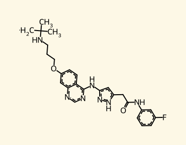 [CH2]C(C)(C)NCCCOc1ccc2c(Nc3cc(CC(=O)Nc4cccc(F)c4)[nH]n3)ncnc2c1